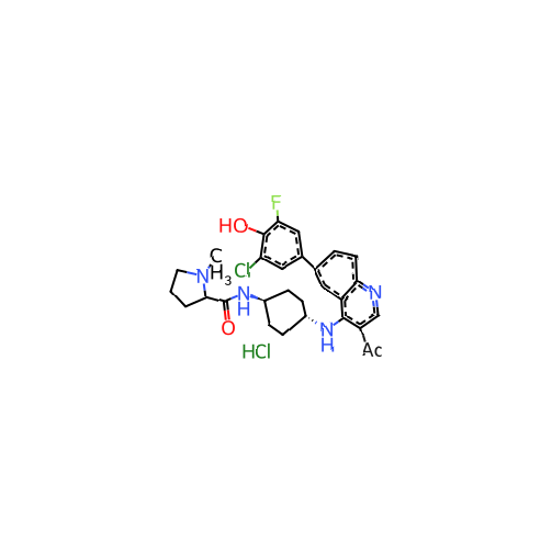 CC(=O)c1cnc2ccc(-c3cc(F)c(O)c(Cl)c3)cc2c1N[C@H]1CC[C@H](NC(=O)C2CCCN2C)CC1.Cl